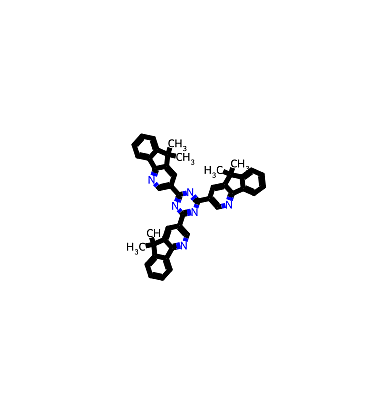 CC1(C)c2ccccc2-c2ncc(-c3nc(-c4cnc5c(c4)C(C)(C)c4ccccc4-5)nc(-c4cnc5c(c4)C(C)(C)c4ccccc4-5)n3)cc21